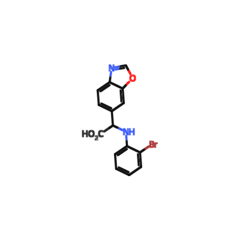 O=C(O)C(Nc1ccccc1Br)c1ccc2ncoc2c1